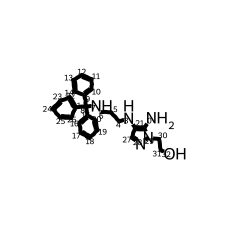 Nc1c(NCCCNC(c2ccccc2)(c2ccccc2)c2ccccc2)cnn1CCO